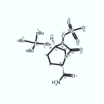 CCCC[N+](CCCC)(CCCC)CCCC.NC(=O)[C@@H]1CC[C@@H]2CN1C(=O)N2OS(=O)(=O)[O-]